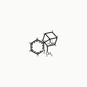 CC1CC2CC(C1)C2(O)c1ccccn1